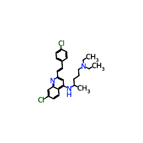 CCN(CC)CCCC(C)Nc1cc(/C=C/c2ccc(Cl)cc2)nc2cc(Cl)ccc12